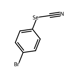 N#C[Se]c1ccc(Br)cc1